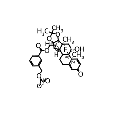 CC1(C)O[C@@H]2C[C@H]3C4CCC5=CC(=O)C=C[C@]5(C)[C@@]4(F)[C@@H](O)C[C@]3(C)[C@]2(C(=O)COC(=O)c2cccc(CO[N+](=O)[O-])c2)O1